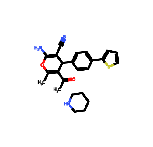 C1CCNCC1.CC(=O)C1=C(C)OC(N)=C(C#N)C1c1ccc(-c2cccs2)cc1